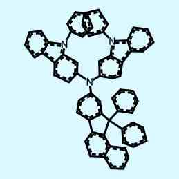 c1ccc(-n2c3ccccc3c3ccc(N(c4ccc5c(c4)C(c4ccccc4)(c4ccccc4)c4c-5ccc5ccccc45)c4ccc5c6ccccc6n(-c6ccccc6)c5c4)cc32)cc1